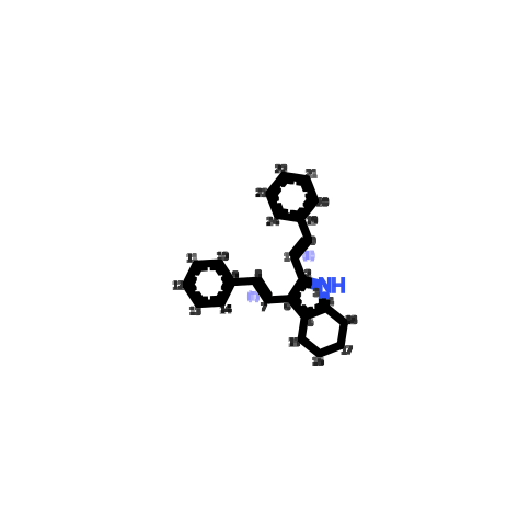 C(=C\c1[nH]c2c(c1/C=C/c1ccccc1)CCCC2)/c1ccccc1